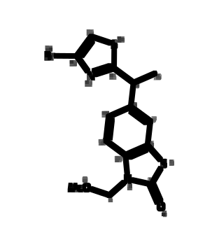 COCn1c(=O)sc2cc(C(C)c3nc(Br)cs3)ccc21